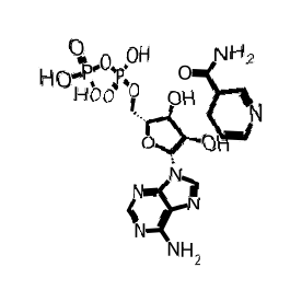 NC(=O)C1C=NC=CC1.Nc1ncnc2c1ncn2[C@@H]1O[C@H](COP(=O)(O)OP(=O)(O)O)[C@@H](O)[C@H]1O